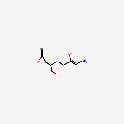 C=C1OC1[C@H](CO)NC/C(O)=C/N